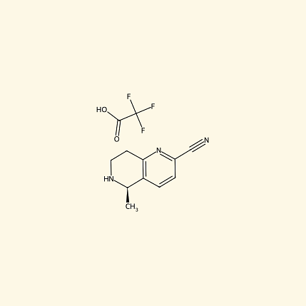 C[C@H]1NCCc2nc(C#N)ccc21.O=C(O)C(F)(F)F